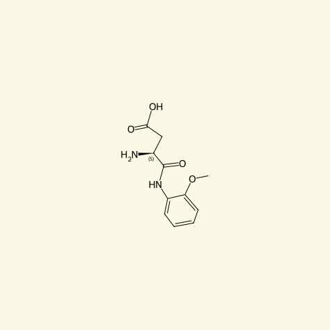 COc1ccccc1NC(=O)[C@@H](N)CC(=O)O